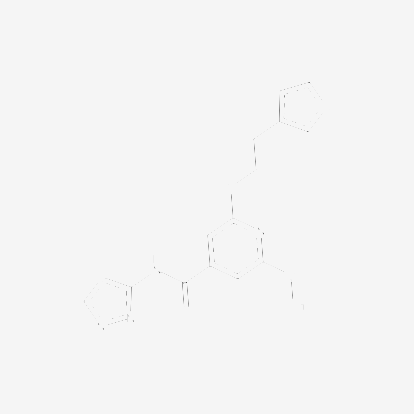 CC(C)Oc1cc(C(=O)Nc2nncs2)cc(SCCc2ccsc2)n1